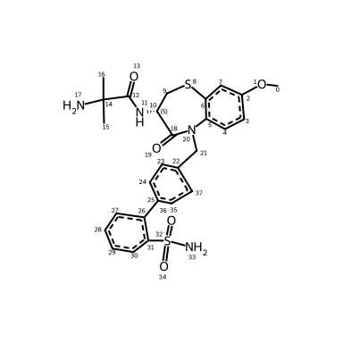 COc1ccc2c(c1)SC[C@@H](NC(=O)C(C)(C)N)C(=O)N2Cc1ccc(-c2ccccc2S(N)(=O)=O)cc1